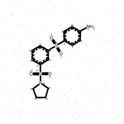 Nc1ccc(S(=O)(=O)c2cccc(S(=O)(=O)N3CCCC3)c2)cc1